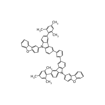 Cc1cc(C)c(-c2ccc3c(c2)c2cc(-c4cccc(-c5ccc6c(c5)c5cc(-c7c(C)cc(C)cc7C)ccc5n6-c5ccc6oc7ccccc7c6c5)c4)ccc2n3-c2ccc3oc4ccccc4c3c2)c(C)c1